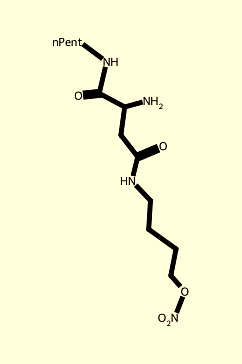 CCCCCNC(=O)C(N)CC(=O)NCCCCO[N+](=O)[O-]